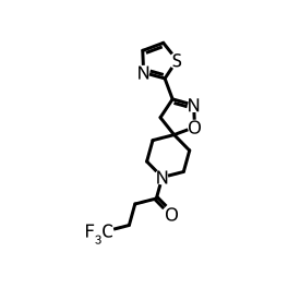 O=C(CCC(F)(F)F)N1CCC2(CC1)CC(c1nccs1)=NO2